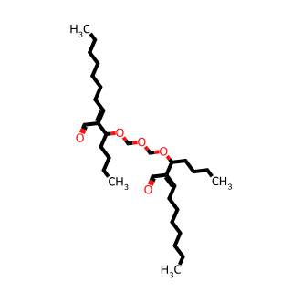 CCCCCCCC=C(C=O)C(CCCC)OCOCOC(CCCC)C(C=O)=CCCCCCCC